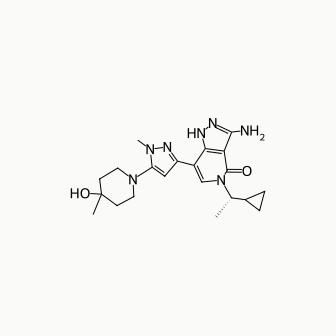 C[C@@H](C1CC1)n1cc(-c2cc(N3CCC(C)(O)CC3)n(C)n2)c2[nH]nc(N)c2c1=O